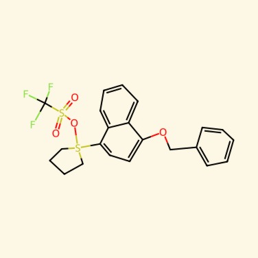 O=S(=O)(OS1(c2ccc(OCc3ccccc3)c3ccccc23)CCCC1)C(F)(F)F